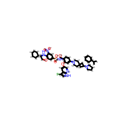 CC(C)c1ccccc1[C@@H]1CCCN1C1CC2(CCN(c3ccc(C(=O)NS(=O)(=O)c4cc5c(c([N+](=O)[O-])c4)N[C@@H](C4CCCCC4)CO5)c(Oc4cnc5[nH]cc(F)c5c4)c3)CC2)C1